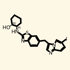 O[C@@H]1CCCC[C@H]1Nc1nc2ccc(Cc3cnc4ccc(I)cn34)cc2s1